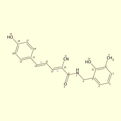 Cc1cccc(CNC(=O)/C(C#N)=C/C=C/c2ccc(O)cc2)c1O